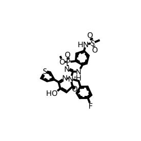 COP1(=O)N=C([N+]2(Cc3ccc(F)cc3)N=C(c3ccsc3)C(O)=CC2=O)Nc2ccc(NS(C)(=O)=O)cc21